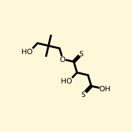 CC(C)(CO)COC(=S)C(O)CC(O)=S